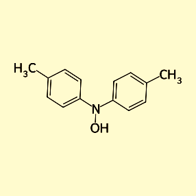 Cc1ccc(N(O)c2ccc(C)cc2)cc1